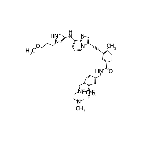 CCC(/C=C\C(=C/CC(F)(F)F)CNC(=O)c1ccc(C)c(C#Cc2cnc3c(NC4=CN(CCCOC)NC4)cccn23)c1)CN1CCN(C)CC1